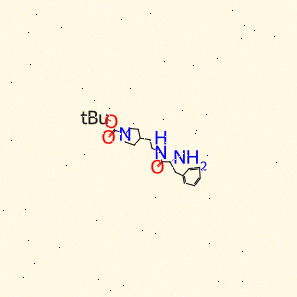 CC(C)(C)OC(=O)N1CCC(CCNC(=O)[C@H](N)Cc2ccccc2)CC1